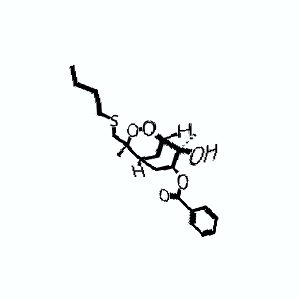 CCCCSC[C@]1(C)OO[C@H]2C[C@@H]1C[C@H](OC(=O)c1ccccc1)[C@]2(C)O